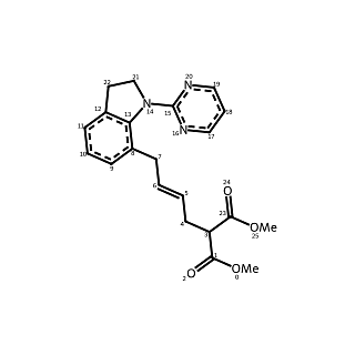 COC(=O)C(CC=CCc1cccc2c1N(c1ncccn1)CC2)C(=O)OC